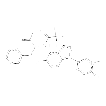 C=C(C)[C@H](NC(=O)C(C)(F)F)[C@H](Oc1ccc2c(cnn2-c2ccc(=O)n(C)c2)c1)c1ccccc1